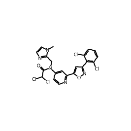 Cn1ccnc1CN(C(=O)C(Cl)Cl)c1ccnc(-c2cc(-c3c(Cl)cccc3Cl)no2)c1